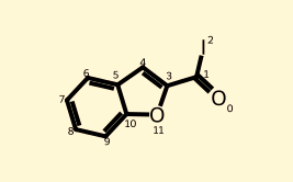 O=C(I)c1cc2ccccc2o1